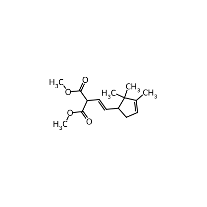 COC(=O)C(C=CC1CC=C(C)C1(C)C)C(=O)OC